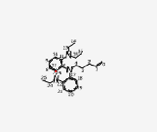 C=CCCCN(c1ccccc1N(CC)CC)c1ccccc1N(CC)CC